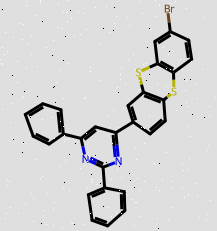 Brc1ccc2c(c1)Sc1cc(-c3cc(-c4ccccc4)nc(-c4ccccc4)n3)ccc1S2